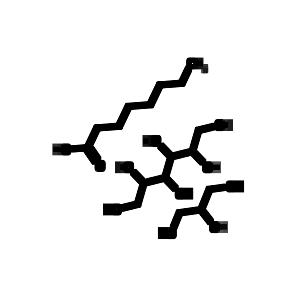 CCCCCCCC(=O)O.OCC(O)C(O)C(O)C(O)CO.OCC(O)CO